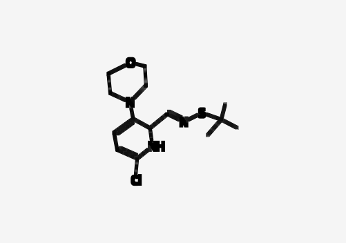 CC(C)(C)S/N=C/C1NC(Cl)=CC=C1N1CCOCC1